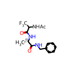 CC(=O)NC(C(=O)N[C@@H](C)C(=O)NCc1ccccc1)C(F)(F)F